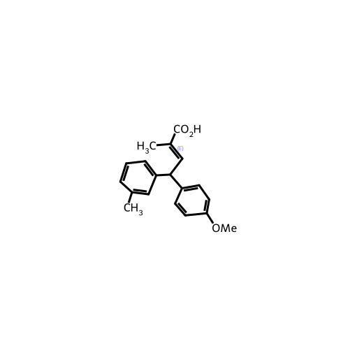 COc1ccc(C(/C=C(\C)C(=O)O)c2cccc(C)c2)cc1